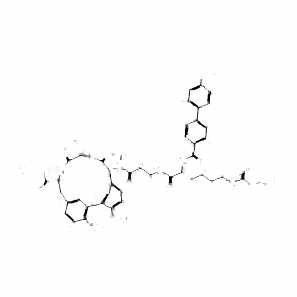 CCCCc1ccc(-c2ccc(C(=O)N[C@@H](CCCCNC(=O)OC(C)(C)C)C(=O)NCCC(=O)N(C)[C@@H]3C(=O)N[C@@H](C)C(=O)N[C@H](C(=O)OC)Cc4ccc(OC)c(c4)-c4cc3ccc4OC)cc2)cc1